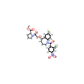 COC(=O)[C@@H]1CCCN1C(=O)COC1CCCN(C(=O)c2ccc([N+](=O)[O-])cc2Cl)c2ccc(F)cc21